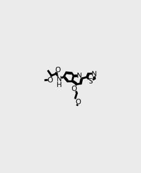 COCCOc1cc(-c2cncs2)nc2ccc(NC(=O)C(C)OC)cc12